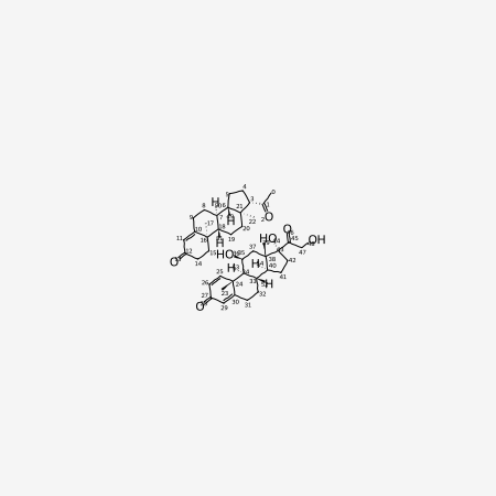 CC(=O)[C@H]1CC[C@H]2[C@@H]3CCC4=CC(=O)CC[C@]4(C)[C@H]3CC[C@]12C.C[C@]12C=CC(=O)C=C1CC[C@@H]1[C@@H]2[C@@H](O)C[C@@]2(C)[C@H]1CC[C@]2(O)C(=O)CO